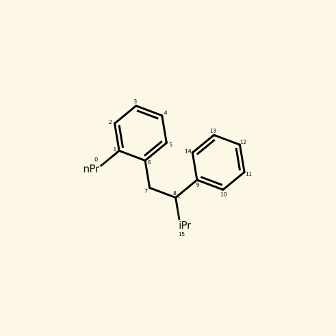 CCCc1ccccc1C[C](c1ccccc1)C(C)C